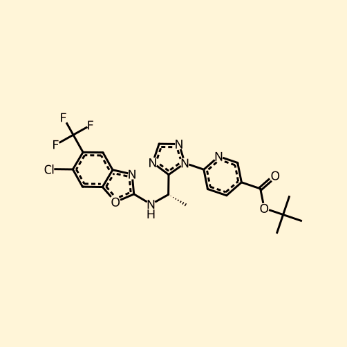 C[C@H](Nc1nc2cc(C(F)(F)F)c(Cl)cc2o1)c1ncnn1-c1ccc(C(=O)OC(C)(C)C)cn1